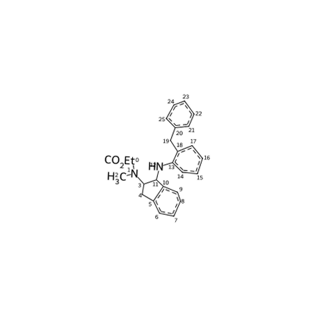 CCOC(=O)N(C)C1Cc2ccccc2C1Nc1ccccc1Cc1ccccc1